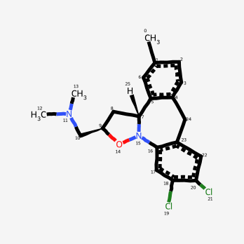 Cc1ccc2c(c1)[C@H]1C[C@H](CN(C)C)ON1c1cc(Cl)c(Cl)cc1C2